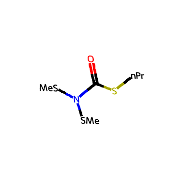 [CH2]CCSC(=O)N(SC)SC